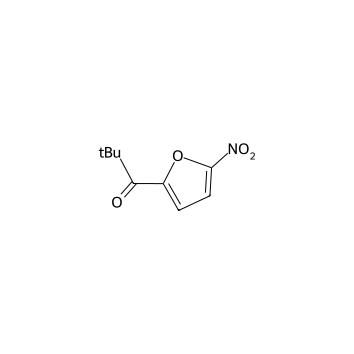 CC(C)(C)C(=O)c1ccc([N+](=O)[O-])o1